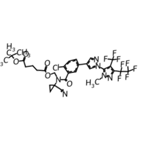 Cn1nc(C(F)(F)C(F)(F)F)c(C(F)(F)F)c1-n1cc(-c2ccc(Cl)c(C(=O)N(COC(=O)CCCC(=O)OC(C)(C)C)C3(C#N)CC3)c2)cn1